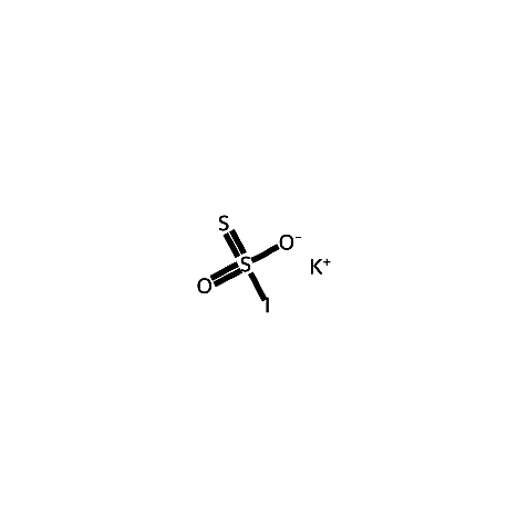 O=S([O-])(=S)I.[K+]